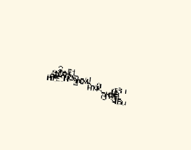 CCc1c2c(nc3ccc(OC(=O)N4CCN(C(=O)CCCCNC(=O)CCCCC(=O)N5CCC(C(=O)OC(C)(C)C)(C(=O)OC(C)(C)C)CC5)CC4)cc13)-c1cc3c(c(=O)n1C2)COC(=O)[C@]3(O)CC